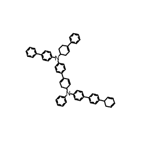 C1=CCC(c2ccc(-c3ccc(N(c4ccccc4)C4C=CC(c5ccc(N(c6ccc(-c7ccccc7)cc6)C6CC=C(c7ccccc7)CC6)cc5)=CC4)cc3)cc2)C=C1